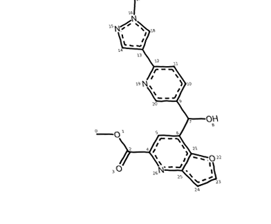 COC(=O)c1cc(C(O)c2ccc(-c3cnn(C)c3)nc2)c2occc2n1